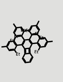 CCc1cc(C)cc(CC)c1-c1c(-c2c(CC)cc(C)cc2CC)c(-c2c(CC)cc(C)cc2CC)c2c(c1-c1c(CC)cc(C)cc1CC)=c1ccccc1=2